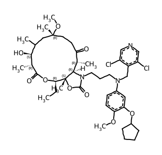 CC[C@H]1OC(=O)[C@H](C)[C@@H](O)C(C)C[C@](C)(OC)CCC(=O)[C@H](C)[C@H]2N(CCCN(Cc3c(Cl)cncc3Cl)c3ccc(OC)c(OC4CCCC4)c3)C(=O)O[C@]12C